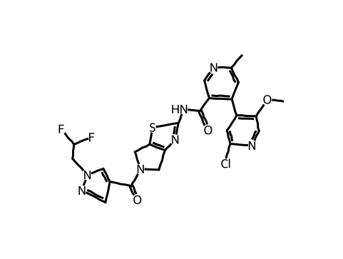 COc1cnc(Cl)cc1-c1cc(C)ncc1C(=O)Nc1nc2c(s1)CN(C(=O)c1cnn(CC(F)F)c1)C2